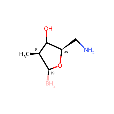 B[C@@H]1O[C@H](CN)C(O)[C@@H]1C